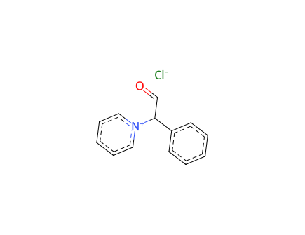 O=CC(c1ccccc1)[n+]1ccccc1.[Cl-]